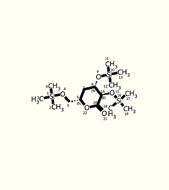 C[Si](C)(C)OC[C@@H]1C[C@H](O[Si](C)(C)C)[C@@H](O[Si](C)(C)C)C(=O)O1